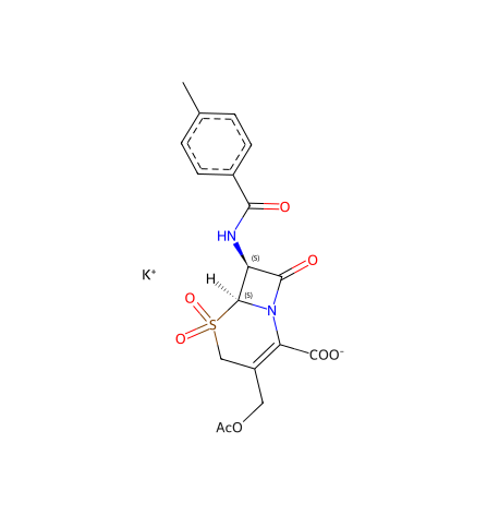 CC(=O)OCC1=C(C(=O)[O-])N2C(=O)[C@H](NC(=O)c3ccc(C)cc3)[C@@H]2S(=O)(=O)C1.[K+]